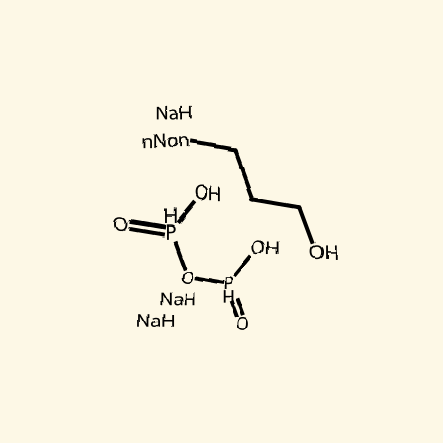 CCCCCCCCCCCCO.O=[PH](O)O[PH](=O)O.[NaH].[NaH].[NaH]